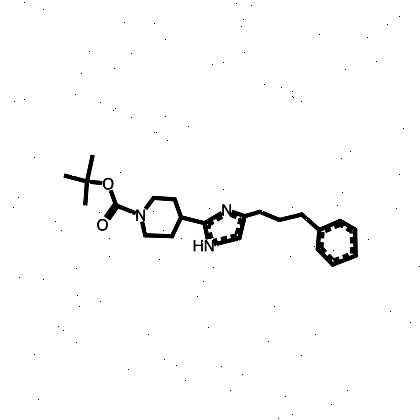 CC(C)(C)OC(=O)N1CCC(c2nc(CCCc3ccccc3)c[nH]2)CC1